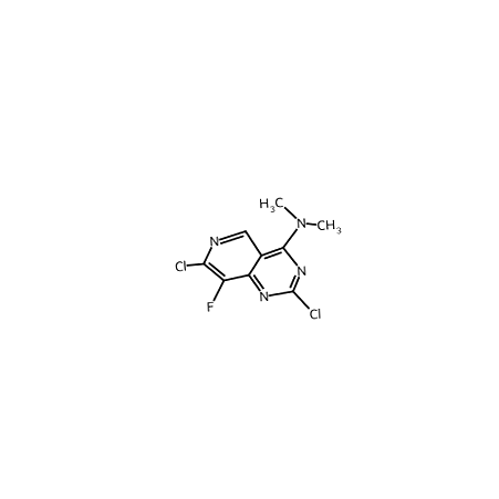 CN(C)c1nc(Cl)nc2c(F)c(Cl)ncc12